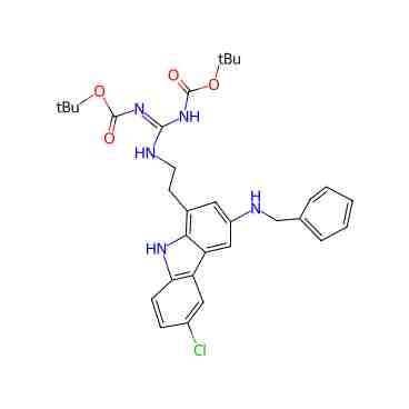 CC(C)(C)OC(=O)/N=C(\NCCc1cc(NCc2ccccc2)cc2c1[nH]c1ccc(Cl)cc12)NC(=O)OC(C)(C)C